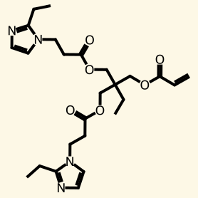 C=CC(=O)OCC(CC)(COC(=O)CCn1ccnc1CC)COC(=O)CCn1ccnc1CC